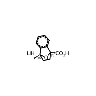 C[C@]12CC[C@](C(=O)O)(O1)c1ccccc12.[LiH]